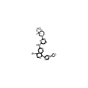 CC(C)c1cnc(-c2cn(C3COC3)cn2)c2cnc(Nc3ccnc(N4CC[C@@H](O)[C@@](C)(F)C4)n3)cc12